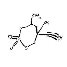 C#CC1(C)CSS(=O)(=O)SC1C